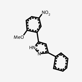 COc1ccc([N+](=O)[O-])cc1-c1cc(-c2ccccc2)n[nH]1